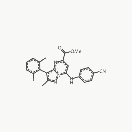 COC(=O)c1cc(Nc2ccc(C#N)cc2)n2nc(C)c(-c3c(C)cccc3C)c2n1